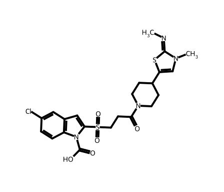 C/N=c1\sc(C2CCN(C(=O)CCS(=O)(=O)c3cc4cc(Cl)ccc4n3C(=O)O)CC2)cn1C